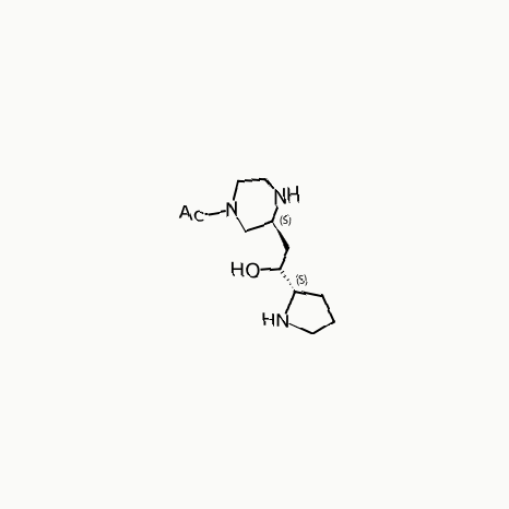 CC(=O)N1CCN[C@@H](CC(O)[C@@H]2CCCN2)C1